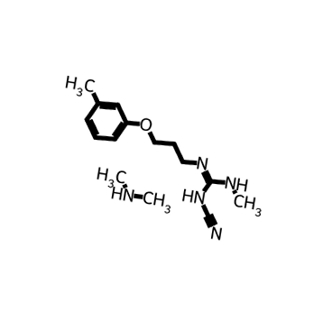 CNC.CNC(=NCCCOc1cccc(C)c1)NC#N